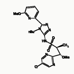 CCCCn1c(NS(=O)(=O)[C@@H](C)[C@H](OC)c2ncc(Cl)cn2)nnc1-c1cccc(OC)n1